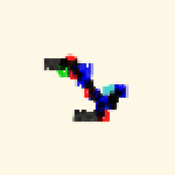 CNC(=O)N1CCc2c(c(N3CCCc4cc(-c5cnn(C)c5)c(C(F)F)cc43)nn2C2CCN(C(=O)CC3CCN(c4ncc(C(=O)NC5C(C)(C)C(Oc6ccc(C#N)c(Cl)c6)C5(C)C)cn4)CC3)CC2)C1